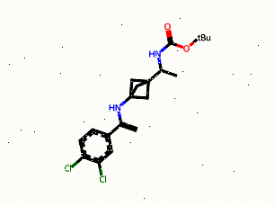 C=C(NC12CC(C(C)NC(=O)OC(C)(C)C)(C1)C2)c1ccc(Cl)c(Cl)c1